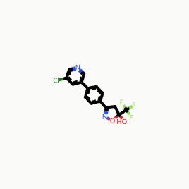 OC1(C(F)(F)F)CC(c2ccc(-c3cncc(Cl)c3)cc2)=NO1